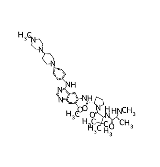 CN[C@@H](C)C(=O)N[C@H](C(=O)N1CCC[C@H]1C(=O)Nc1cc2c(Nc3ccc(N4CCC(N5CCN(C)CC5)CC4)cc3)ncnc2cc1OC)C(C)(C)C